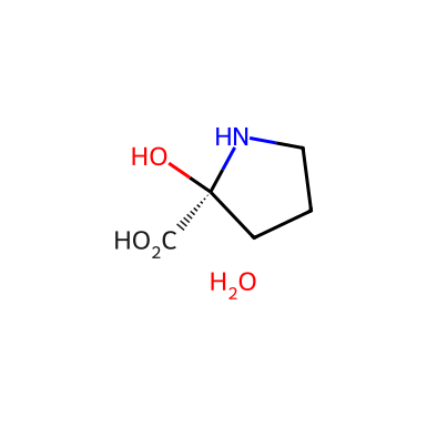 O.O=C(O)[C@@]1(O)CCCN1